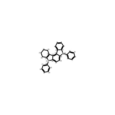 c1ccc(-n2c3ccccc3c3c4c5c(p(-c6ccccc6)c4ccc32)CCCC5)cc1